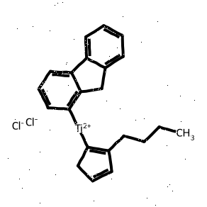 CCCCC1=[C]([Ti+2][c]2cccc3c2Cc2ccccc2-3)CC=C1.[Cl-].[Cl-]